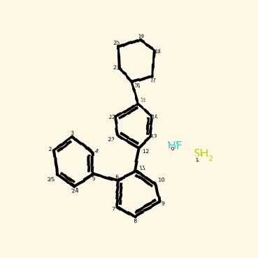 F.S.c1ccc(-c2ccccc2-c2ccc(C3CCCCC3)cc2)cc1